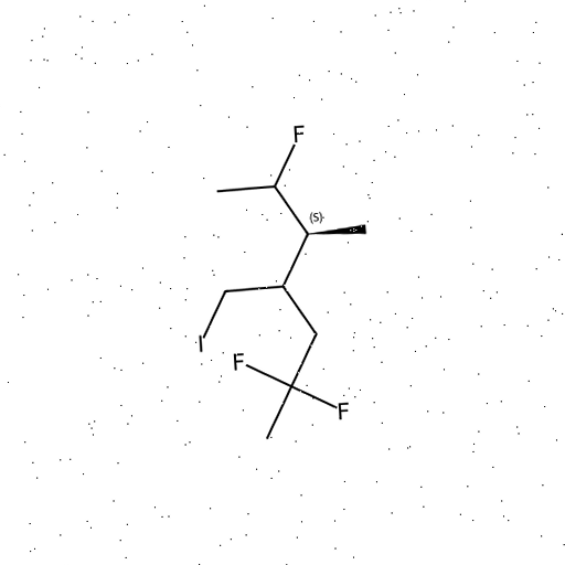 CC(F)[C@@H](C)C(CI)CC(C)(F)F